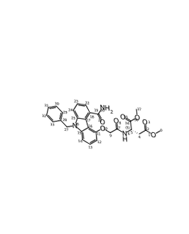 COC(=O)C[C@H](NC(=O)COc1cccc2c1c1c(C(N)=O)cccc1n2Cc1ccccc1)C(=O)OC